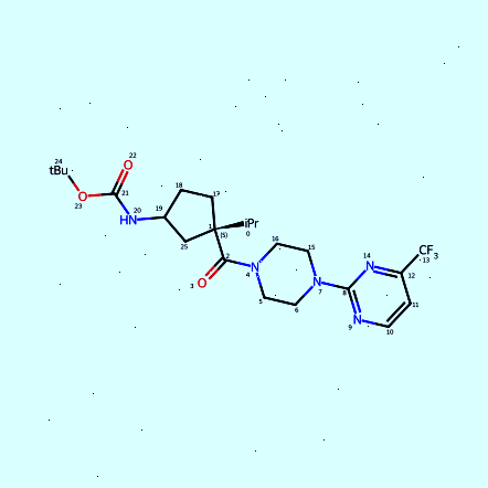 CC(C)[C@]1(C(=O)N2CCN(c3nccc(C(F)(F)F)n3)CC2)CCC(NC(=O)OC(C)(C)C)C1